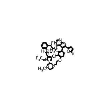 Cc1c(-c2c(-c3ccc(F)o3)sc3ncnc(O[C@@H](C(=O)O)[C@@H](F)c4ccccc4OCc4ccnn4CC(F)(F)F)c23)ccc(OCCN2CCN(C)CC2)c1Cl